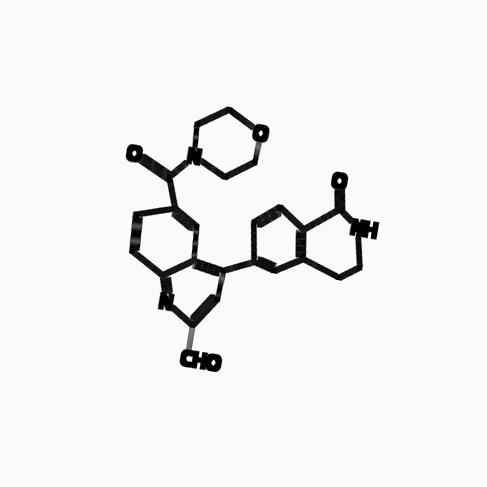 O=Cc1cc(-c2ccc3c(c2)CCNC3=O)c2cc(C(=O)N3CCOCC3)ccc2n1